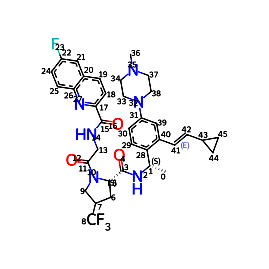 C[C@H](NC(=O)[C@@H]1CC(C(F)(F)F)CN1C(=O)CNC(=O)c1ccc2cc(F)ccc2n1)c1ccc(N2CCN(C)CC2)cc1/C=C/C1CC1